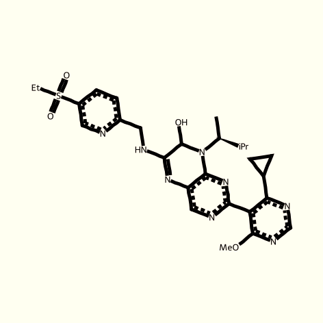 CCS(=O)(=O)c1ccc(CNC2=Nc3cnc(-c4c(OC)ncnc4C4CC4)nc3N([C@@H](C)C(C)C)C2O)nc1